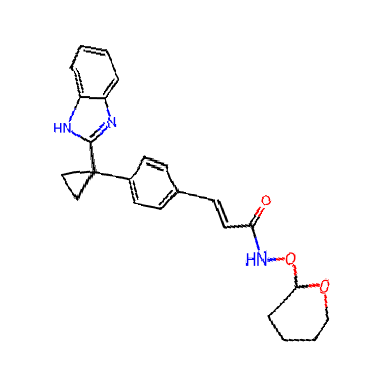 O=C(/C=C/c1ccc(C2(c3nc4ccccc4[nH]3)CC2)cc1)NOC1CCCCO1